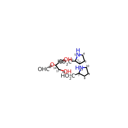 O=C(O)C1CCCN1.O=C(O)C1CCCN1.O=COC(CO)CO